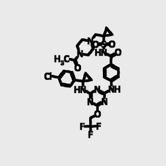 CC(=O)N1CCN(CC2(S(=O)(=O)NC(=O)c3ccc(Nc4nc(NC5(c6ccc(Cl)cc6)CC5)nc(OCC(F)(F)F)n4)cc3)CC2)CC1